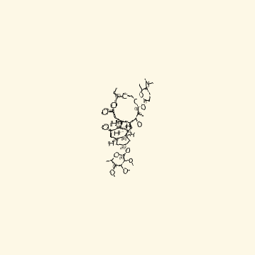 CC[C@H]1CCC[C@H](O[C@H]2CC[C@H](N(C)C)C(C)O2)[C@@H](C)C(=O)C2=C[C@H]3[C@@H]4C[C@H](O[C@@H]5OC(C)[C@H](OC)C(OC)C5OC)C[C@H]4CC(=O)[C@H]3[C@@H]2CC(=O)O1